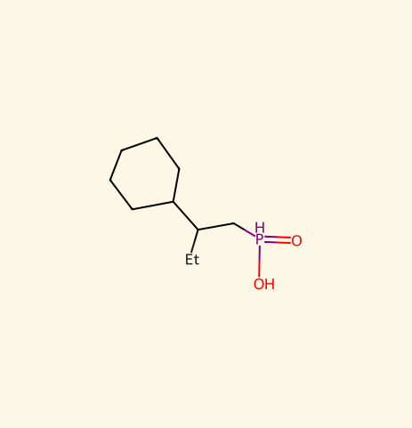 CCC(C[PH](=O)O)C1CCCCC1